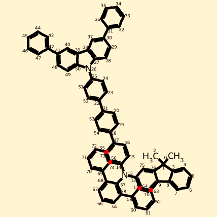 CC1(C)c2ccccc2-c2ccc(N(c3ccc(-c4ccc(-c5ccc(-n6c7ccc(-c8ccccc8)cc7c7cc(-c8ccccc8)ccc76)cc5)cc4)cc3)c3c(-c4ccccc4)cccc3-c3ccccc3)cc21